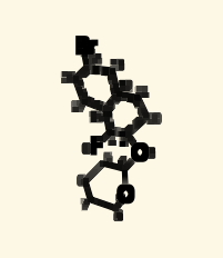 Fc1c(OC2CCCCO2)ccc2cc(Br)ccc12